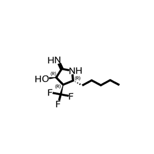 CCCCC[C@H]1NC(=N)[C@H](O)[C@@H]1C(F)(F)F